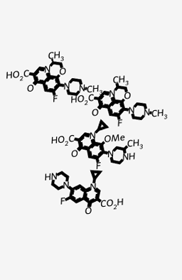 CC1COc2c(N3CCN(C)CC3)c(F)cc3c(=O)c(C(=O)O)cn1c23.COc1c(N2CCNC(C)C2)c(F)cc2c(=O)c(C(=O)O)cn(C3CC3)c12.C[C@H]1COc2c(N3CCN(C)CC3)c(F)cc3c(=O)c(C(=O)O)cn1c23.O=C(O)c1cn(C2CC2)c2cc(N3CCNCC3)c(F)cc2c1=O